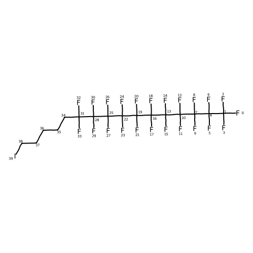 FC(F)(F)C(F)(F)C(F)(F)C(F)(F)C(F)(F)C(F)(F)C(F)(F)C(F)(F)C(F)(F)C(F)(F)C(F)(F)CCCCCI